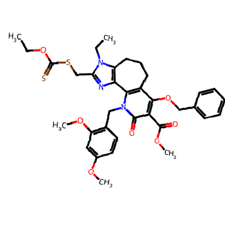 CCOC(=S)SCc1nc2c(n1CC)CCCc1c(OCc3ccccc3)c(C(=O)OC)c(=O)n(Cc3ccc(OC)cc3OC)c1-2